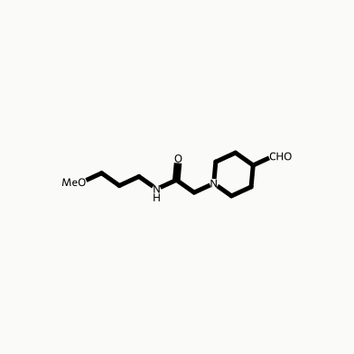 COCCCNC(=O)CN1CCC(C=O)CC1